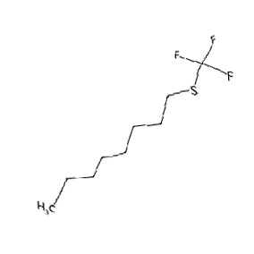 CCCCCCCCSC(F)(F)F